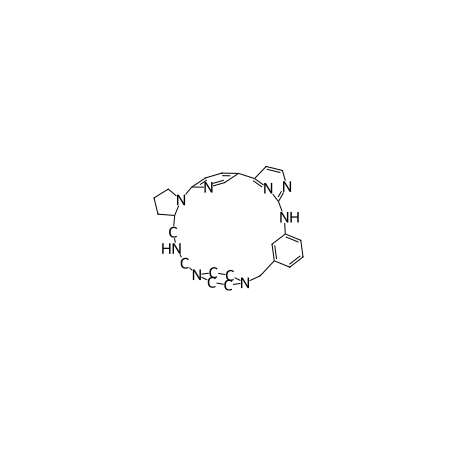 c1cc2cc(c1)Nc1nccc(n1)-c1ccc(nc1)N1CCCC1CNCN1CCN(CC1)C2